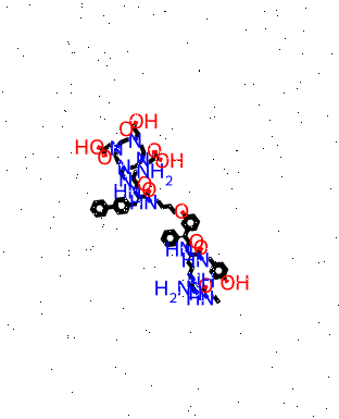 CCNC(=O)/N=C(/N)NCCC[C@@H](NC(=O)[C@@H](c1ccccc1)c1cccc(OCCCCNC(=O)[C@@H](Cc2ccc(-c3ccccc3)cc2)NC(=O)/C(CN)=N/CN2CCN(CC(=O)O)CCN(CC(=O)O)CCN(CC(=O)O)CC2)c1)C(=O)NCc1ccc(O)cc1